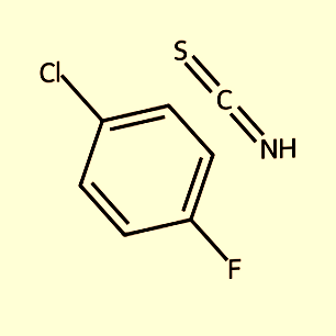 Fc1ccc(Cl)cc1.N=C=S